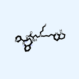 O=C1O\C2=C(c3cccnc3)/N=c3/cccc/c3=C(/CC2)NC1CCN(CCCF)CCCCc1ccc2c(n1)NCCC2